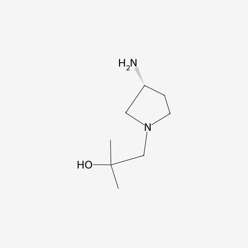 CC(C)(O)CN1CC[C@@H](N)C1